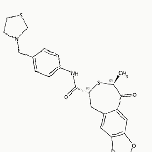 C[C@@H]1S[C@@H](C(=O)Nc2ccc(CN3CCSC3)cc2)Cc2cc3c(cc2C1=O)OCO3